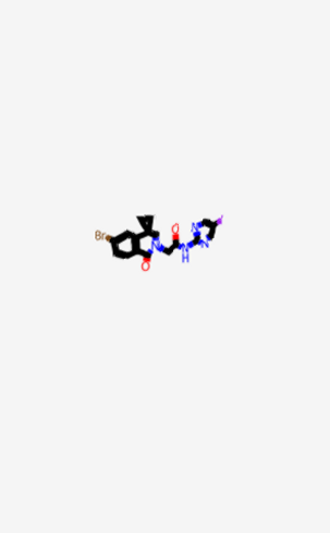 O=C(CN1CC2(CC2)c2cc(Br)ccc2C1=O)Nc1ncc(I)cn1